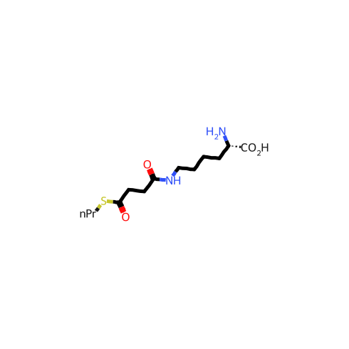 CCCSC(=O)CCC(=O)NCCCC[C@H](N)C(=O)O